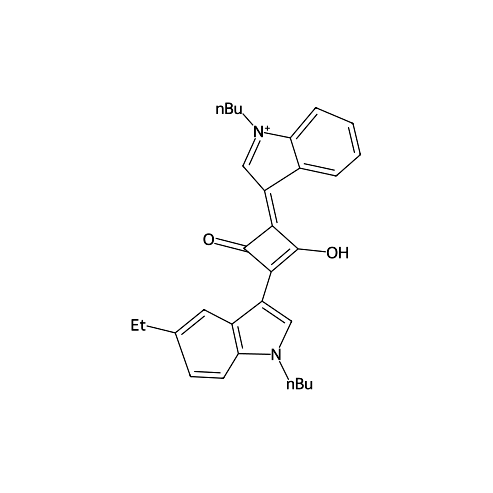 CCCCn1cc(C2=C(O)/C(=C3/C=[N+](CCCC)c4ccccc43)C2=O)c2cc(CC)ccc21